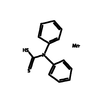 S=C(S)N(c1ccccc1)c1ccccc1.[Mn]